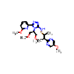 COCC(COC)n1c(NSC(C)C(C)c2ncc(OC)cn2)nnc1-c1cccc(OC)n1